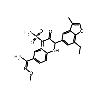 CCc1cc(C(Nc2ccc(/C(N)=N\OC)cc2)C(=O)NS(N)(=O)=O)cc2c(C)coc12